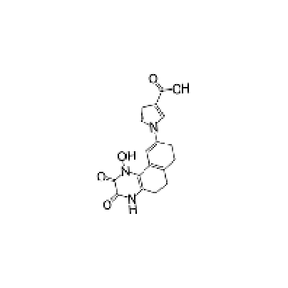 O=C(O)c1ccn(C2=CC3=C(CC2)CCc2[nH]c(=O)c(=O)n(O)c23)c1